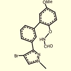 COc1ccc(ONC=O)c(-c2cccc(-c3nn(C)cc3Br)c2)c1